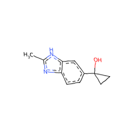 Cc1nc2ccc(C3(O)CC3)cc2[nH]1